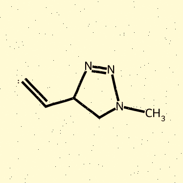 [C]=CC1CN(C)N=N1